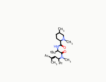 CC(=O)/C(C)=C/C(C(C)C)N(C)C(=O)C(NC(=O)C1CCC(C)CN1C)C(C)(C)C